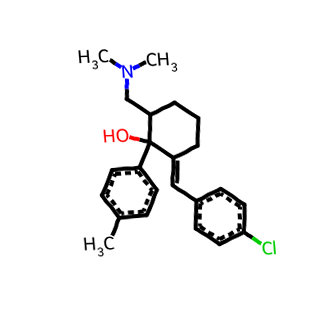 Cc1ccc(C2(O)C(=Cc3ccc(Cl)cc3)CCCC2CN(C)C)cc1